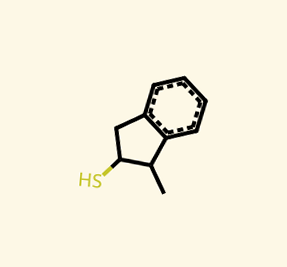 CC1c2ccccc2CC1S